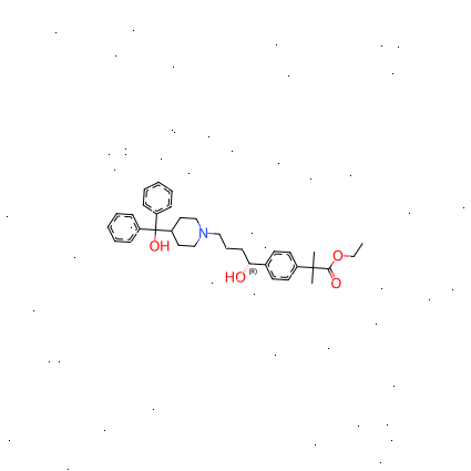 CCOC(=O)C(C)(C)c1ccc([C@H](O)CCCN2CCC(C(O)(c3ccccc3)c3ccccc3)CC2)cc1